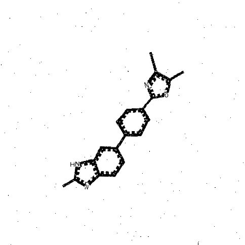 Cc1nc2ccc(-c3ccc(-c4nc(C)c(C)o4)cc3)cc2[nH]1